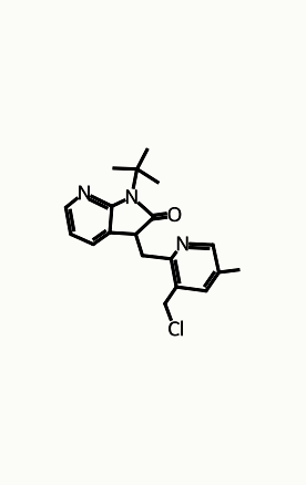 Cc1cnc(CC2C(=O)N(C(C)(C)C)c3ncccc32)c(CCl)c1